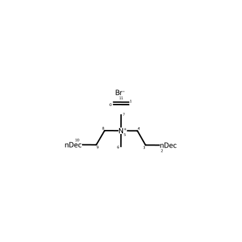 C=C.CCCCCCCCCCCC[N+](C)(C)CCCCCCCCCCCC.[Br-]